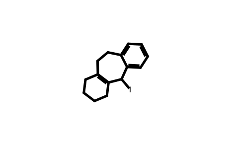 IC1C2=C(CCCC2)CCc2ccccc21